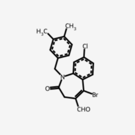 Cc1ccc(CN2C(=O)CC(C=O)=C(Br)c3ccc(Cl)cc32)cc1C